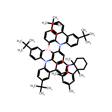 Cc1cc(C)c2c(c1)C1(C)CCCCC1(C)N2c1cc2c3c(c1)N(c1ccc(C(C)(C)C)cc1-c1ccccc1)c1cc(C(C)(C)C)ccc1B3c1cc(C(C)(C)C)ccc1N2c1ccc(C(C)(C)C)cc1-c1ccccc1